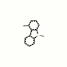 Ic1cccc2c1c1ccccc1n2I